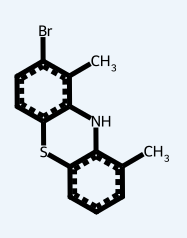 Cc1cccc2c1Nc1c(ccc(Br)c1C)S2